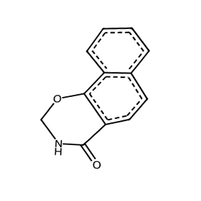 O=C1NCOc2c1ccc1ccccc21